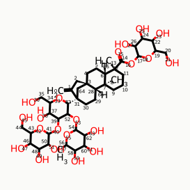 C=C1C[C@@]23CC[C@H]4[C@@](C)(CCC[C@@]4(C)C(=O)OC4OC(CO)C(O)C(O)C4O)[C@@H]2CC[C@]1(C1OC(CO)C(O)C(OC2OC(CO)C(O)C(O)C2O)C1OC1OC(C)C(O)C(O)C1O)C3